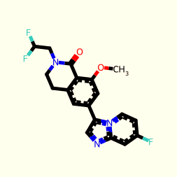 COc1cc(-c2cnc3cc(F)ccn23)cc2c1C(=O)N(CC(F)F)CC2